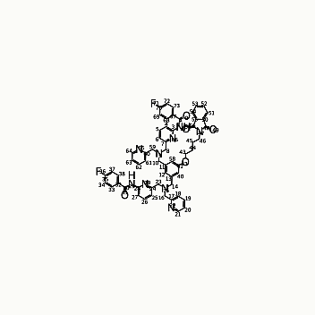 O=C(Nc1cccc(CN(Cc2cc(CN(Cc3ccccn3)Cc3cccc(NC(=O)c4ccc(F)cc4)n3)cc(OCCCCN3C(=O)c4ccccc4C3=O)c2)Cc2ccccn2)n1)c1ccc(F)cc1